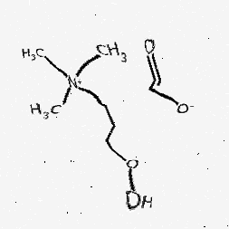 C[N+](C)(C)CCOO.O=C[O-]